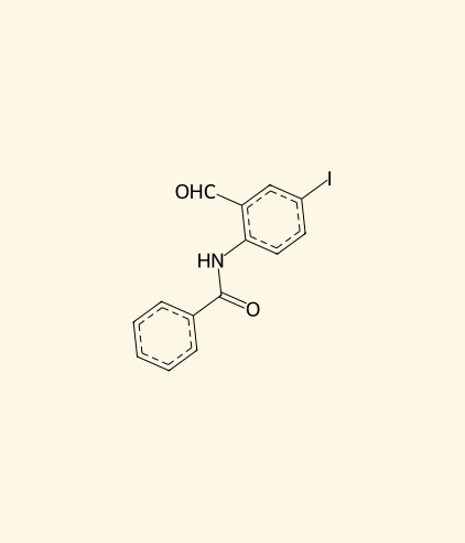 O=Cc1cc(I)ccc1NC(=O)c1ccccc1